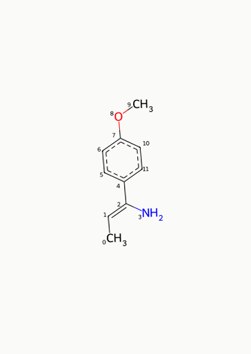 C/C=C(\N)c1ccc(OC)cc1